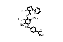 CNc1nc(Nc2ccc(C(=O)OC)cc2)c(C#N)c(C)c1/N=N/c1c(C#N)cnn1-c1ncccn1